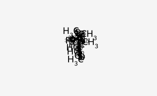 COCc1c(OC)nc(C(C)C)c(/C=C/C(O)CC(O)CC(=O)OC)c1-c1ccc(F)cc1